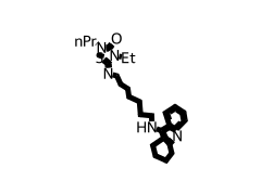 CCCn1sc(=NCCCCCCCNc2c3c(nc4ccccc24)CCCC3)n(CC)c1=O